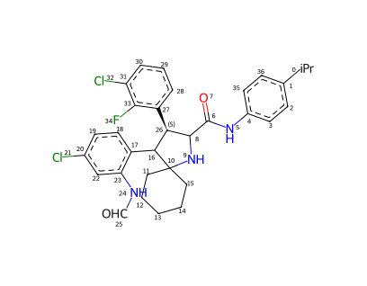 CC(C)c1ccc(NC(=O)C2NC3(CCCCC3)C(c3ccc(Cl)cc3NC=O)[C@H]2c2cccc(Cl)c2F)cc1